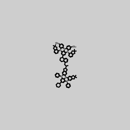 CC(Cc1cccc2c1CCCC2c1cc2c3c(c1)N(c1cccc4c1CC(C)(C)C4)c1cc(C(C)(C)C)ccc1B3c1ccc(C(C)(C)C)cc1N2c1cccc2c1CC(C)(C)C2)C1Cc2cc3c(cc2C1)N(c1ccccc1)c1cc(C2CCCCC2)cc2c1B3c1cc3c(cc1N2c1ccccc1)CC(C)(C)C3